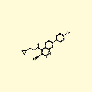 N#Cc1nnc2cc(-c3ccc(Br)cc3)ccc2c1NCCC1CC1